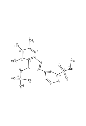 Cc1nc(N=Nc2cccc(S(=O)(=O)NC(C)(C)C)c2)c(COP(=O)(O)O)c(C=O)c1O